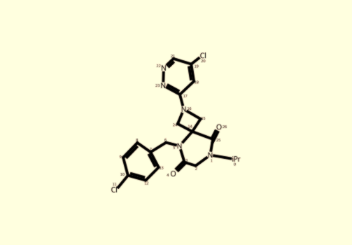 CC(C)N1CC(=O)N(Cc2ccc(Cl)cc2)C2(CN(c3cc(Cl)cnn3)C2)C1=O